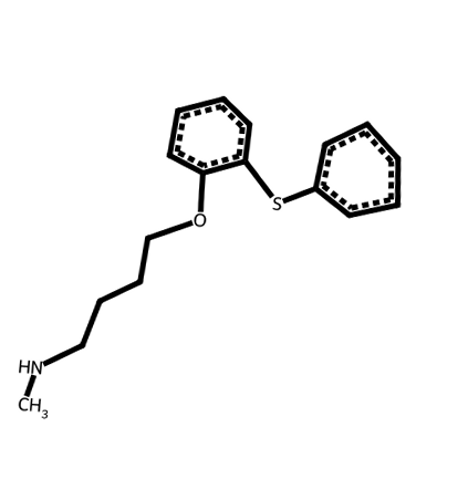 CNCCCCOc1ccccc1Sc1ccccc1